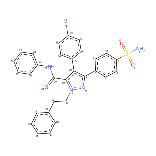 NS(=O)(=O)c1ccc(-c2nn(CCc3ccccc3)c(C(=O)Nc3ccccc3)c2-c2ccc(Cl)cc2)cc1